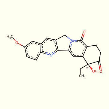 CC[C@@]1(O)C(=O)CCc2c1cc1n(c2=O)Cc2cc3cc(OC)ccc3nc2-1